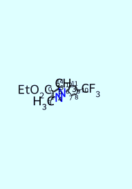 CCOC(=O)c1c(C)nn(-c2ccc(C(F)(F)F)cc2)c1C